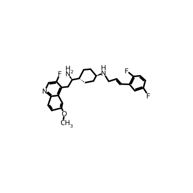 COc1ccc2ncc(F)c(C[C@@H](N)[C@H]3CC[C@H](NC/C=C/c4cc(F)ccc4F)CC3)c2c1